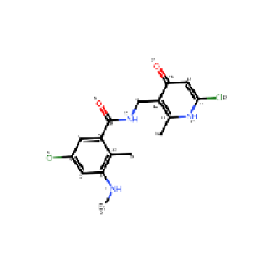 CCNc1cc(Cl)cc(C(=O)NCc2c(C)[nH]c(Cl)cc2=O)c1C